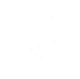 CN1CCC(c2ccc(C(=O)Nc3n[nH]c4ccc(Sc5cc(F)ccc5F)nc34)c(N(C(=O)C(F)(F)F)C3CCOCC3)c2)CC1